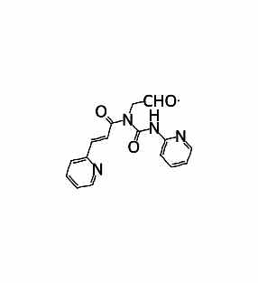 O=[C]CN(C(=O)C=Cc1ccccn1)C(=O)Nc1ccccn1